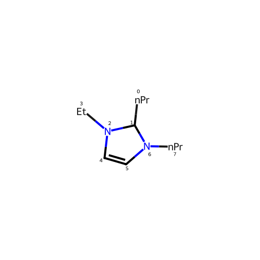 CCCC1N(CC)C=CN1CCC